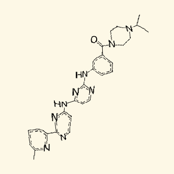 Cc1cccc(-c2nccc(Nc3ccnc(Nc4cccc(C(=O)N5CCN(C(C)C)CC5)c4)n3)n2)n1